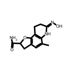 Cc1cc2c(c3c1NC(=NO)CC3)OC(C(N)=O)C2